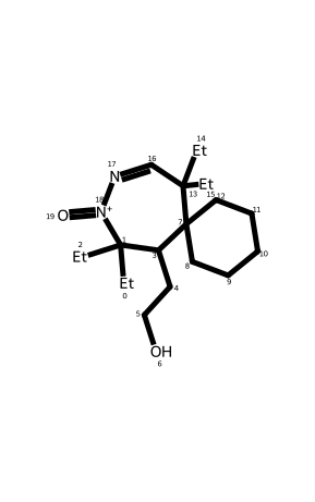 CCC1(CC)C(CCO)C2(CCCCC2)C(CC)(CC)C=N[N+]1=O